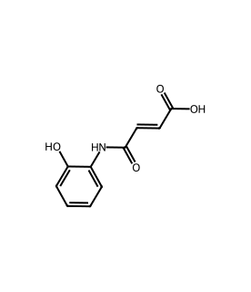 O=C(O)C=CC(=O)Nc1ccccc1O